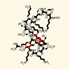 CC(=O)N[C@@H](CCCCN)C(=O)N[C@@H](CC(C)C)C(=O)N[C@@H](CC(=O)O)C(=O)N[C@@H](CCCCN)C(=O)N[C@@H](CCCCN)C(=O)N[C@@H](CC(C)C)C(=O)N[C@@H](CC(=O)O)C(=O)N[C@@H](CCCCN)C(=O)N[C@@H](CCCCN)C(=O)N[C@@H](CC(C)C)C(=O)N[C@@H](CC(=O)O)C(=O)N[C@@H](CCCCN)C(=O)N[C@@H](CCCCN)C(=O)N[C@@H](CCCNC(=N)N)C(=O)N[C@@H](Cc1c[nH]cn1)C(=O)O